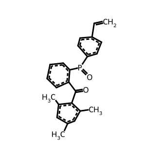 C=Cc1ccc([P](=O)c2ccccc2C(=O)c2c(C)cc(C)cc2C)cc1